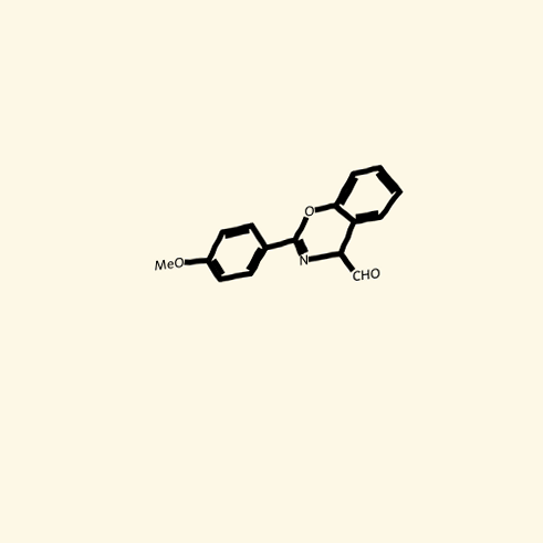 COc1ccc(C2=NC(C=O)c3ccccc3O2)cc1